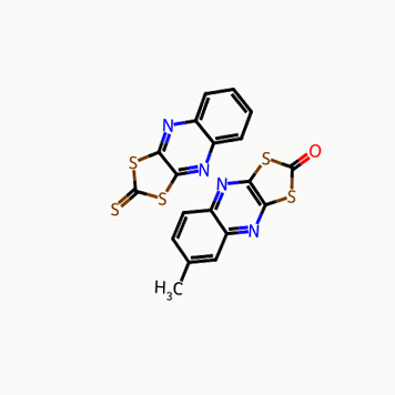 Cc1ccc2nc3sc(=O)sc3nc2c1.S=c1sc2nc3ccccc3nc2s1